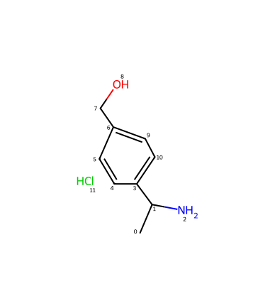 CC(N)c1ccc(CO)cc1.Cl